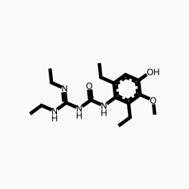 CCN=C(NCC)NC(=O)Nc1c(CC)cc(O)c(OC)c1CC